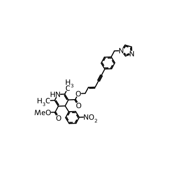 COC(=O)C1=C(C)NC(C)=C(C(=O)OC/C=C/C#Cc2ccc(Cn3ccnc3)cc2)C1c1cccc([N+](=O)[O-])c1